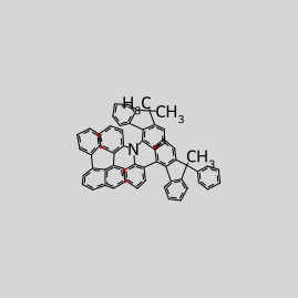 CC1(C)c2ccccc2-c2c(N(c3ccccc3-c3cccc4c3-c3ccccc3C4(C)c3ccccc3)c3ccccc3-c3cccc4cccc(-c5ccccc5)c34)cccc21